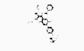 CCOC(=O)c1c(SC(Cl)CF)nc2cc(-c3ccc(NC(=O)C(F)(F)F)cc3)c(F)cc2c1OC(=O)c1ccccc1